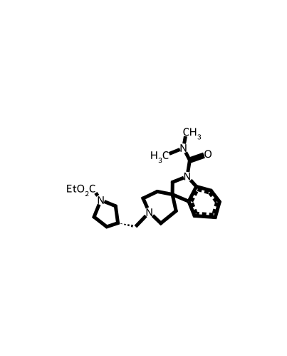 CCOC(=O)N1CC[C@@H](CN2CCC3(CC2)CN(C(=O)N(C)C)c2ccccc23)C1